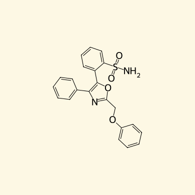 NS(=O)(=O)c1ccccc1-c1oc(COc2ccccc2)nc1-c1ccccc1